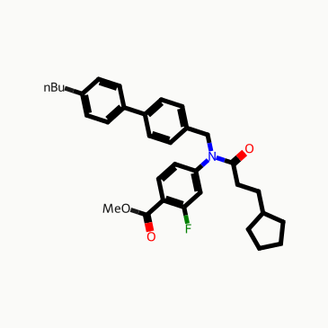 CCCCc1ccc(-c2ccc(CN(C(=O)CCC3CCCC3)c3ccc(C(=O)OC)c(F)c3)cc2)cc1